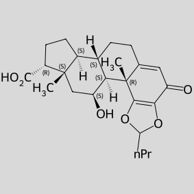 CCCC1OC2=C(O1)[C@@]1(C)C(=CC2=O)CC[C@@H]2[C@@H]1[C@@H](O)C[C@]1(C)[C@H](C(=O)O)CC[C@@H]21